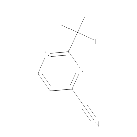 N#Cc1ccnc(C(F)(F)F)n1